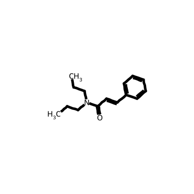 CCCN(CCC)C(=O)C=Cc1ccccc1